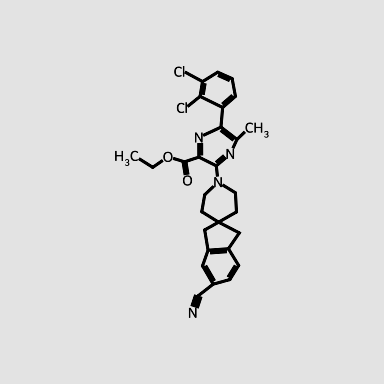 CCOC(=O)c1nc(-c2cccc(Cl)c2Cl)c(C)nc1N1CCC2(CC1)Cc1ccc(C#N)cc1C2